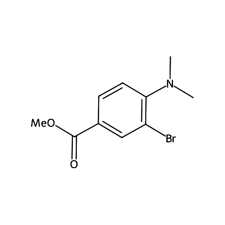 COC(=O)c1ccc(N(C)C)c(Br)c1